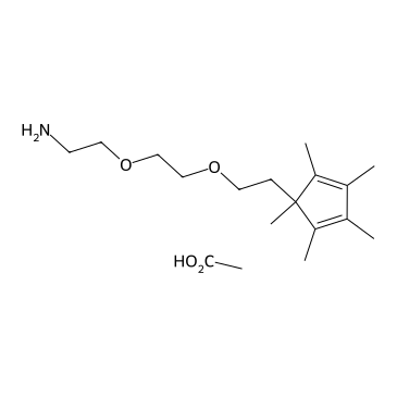 CC(=O)O.CC1=C(C)C(C)(CCOCCOCCN)C(C)=C1C